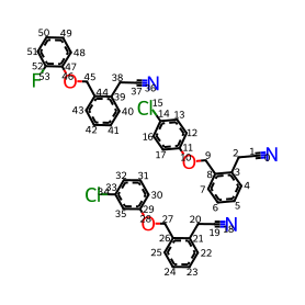 N#CCc1ccccc1COc1ccc(Cl)cc1.N#CCc1ccccc1COc1cccc(Cl)c1.N#CCc1ccccc1COc1ccccc1F